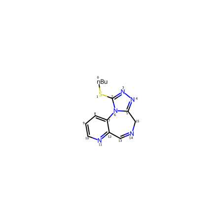 CCCCSc1nnc2n1-c1cccnc1C=NC2